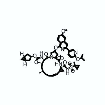 COc1ccc2c(OC3C[C@H]4C(=O)N[C@]5(C(=O)NS(=O)(=O)C6(C)CC6)CC5/C=C\CC[C@@H](C)C[C@@H](C)[C@H](NC(=O)O[C@@H]5C[C@@H]6C[C@@H]6C5)C(=O)N4C3)nc(-c3ccc(OC(C)C)nc3)cc2c1